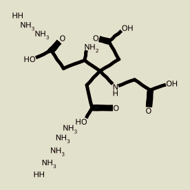 N.N.N.N.N.N.NC(CC(=O)O)C(CC(=O)O)(CC(=O)O)NCC(=O)O.[HH].[HH]